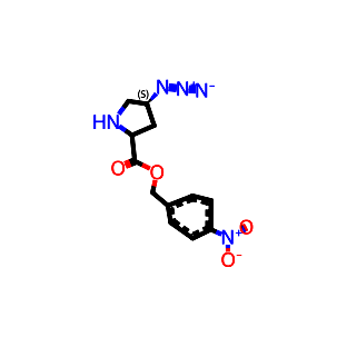 [N-]=[N+]=N[C@@H]1CNC(C(=O)OCc2ccc([N+](=O)[O-])cc2)C1